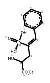 CCOC(=O)C(O)CC(=Cc1ccccc1)P(=O)(O)O